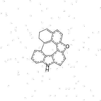 C1=c2ccc3oc4ccc5[nH]c6cccc7c6c5c4c3c2=C7CC1